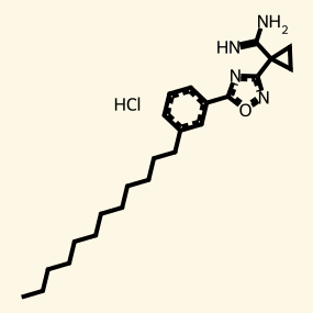 CCCCCCCCCCCCc1cccc(-c2nc(C3(C(=N)N)CC3)no2)c1.Cl